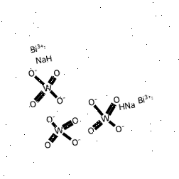 [Bi+3].[Bi+3].[NaH].[NaH].[O]=[W](=[O])([O-])[O-].[O]=[W](=[O])([O-])[O-].[O]=[W](=[O])([O-])[O-]